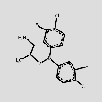 CC(CN)OB(c1ccc(Cl)c(F)c1)c1ccc(Cl)c(F)c1